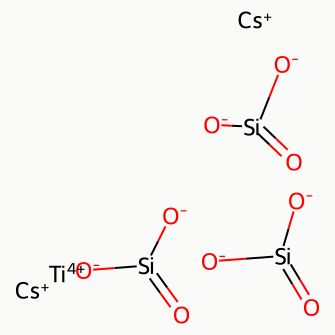 O=[Si]([O-])[O-].O=[Si]([O-])[O-].O=[Si]([O-])[O-].[Cs+].[Cs+].[Ti+4]